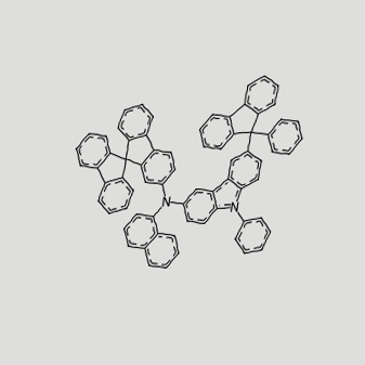 c1ccc(-n2c3ccc(N(c4ccc5c(c4)C4(c6ccccc6-c6ccccc64)c4ccccc4-5)c4cccc5ccccc45)cc3c3cc(C4(c5ccccc5)c5ccccc5-c5ccccc54)ccc32)cc1